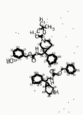 CC(C)(C)OC(=O)N1CCC2C(C1)C2(CNC(=O)OCc1ccccc1)c1ccccc1.Cl.O=C(NCC1(c2ccccc2)C2CCNCC21)OCc1ccccc1